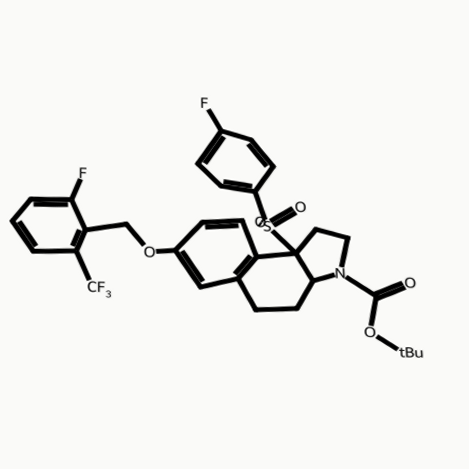 CC(C)(C)OC(=O)N1CCC2(S(=O)(=O)c3ccc(F)cc3)c3ccc(OCc4c(F)cccc4C(F)(F)F)cc3CCC12